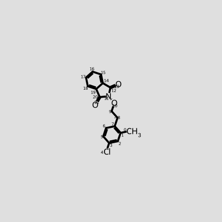 Cc1cc(Cl)ccc1[CH]CON1C(=O)c2ccccc2C1=O